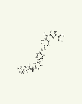 CC(C)c1noc(C(=O)N2CCC(COc3cnc(N4CC[C@@H](NC(=O)OC(C)(C)C)C4)nc3)CC2)n1